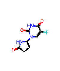 O=C1CCC(n2cc(F)c(=O)[nH]c2=O)N1